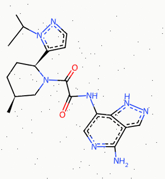 CC(C)n1nccc1[C@@H]1CC[C@H](C)CN1C(=O)C(=O)Nc1cnc(N)c2cn[nH]c12